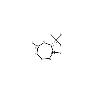 CN1CCCN(C)[C@@H](C(C)(C)C)C1